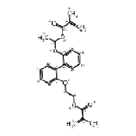 C=C(C)C(=O)OCCOc1ccccc1-c1ccccc1OC(C)OC(=O)C(=C)C